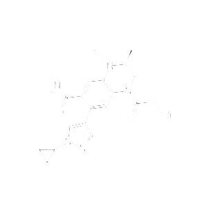 CC(=O)N1c2cc(C(N)=O)c(-c3cnn(C4CC4)c3)cc2N(C(=O)OC(C)C)C[C@@H]1C